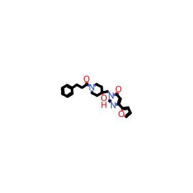 O=C(CCc1ccccc1)N1CCC(O)(Cn2cnc(-c3ccco3)cc2=O)CC1